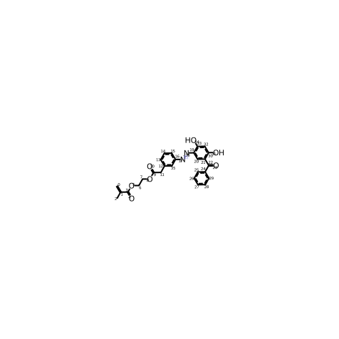 C=C(C)C(=O)OCCOC(=O)Cc1cccc(/N=N/c2cc(C(=O)c3ccccc3)c(O)cc2O)c1